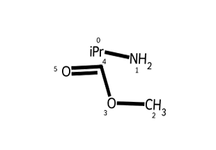 CC(C)N.COC=O